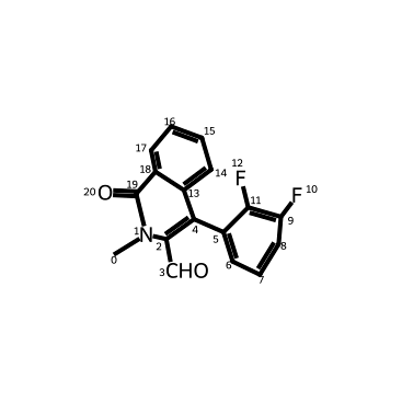 Cn1c(C=O)c(-c2cccc(F)c2F)c2ccccc2c1=O